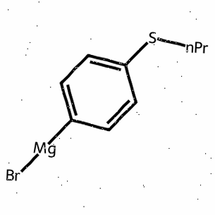 CCCSc1cc[c]([Mg][Br])cc1